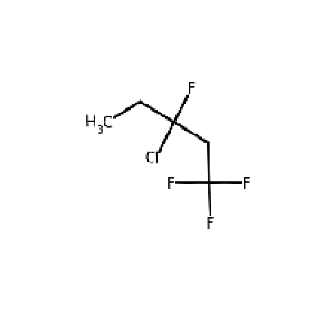 CCC(F)(Cl)CC(F)(F)F